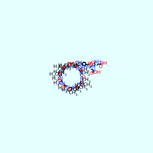 CC[C@@H]1NC(=O)[C@H]([C@H](O)[C@H](C)Cc2nc3cc(C(=O)N[C@@H](CCC(=O)O)C(=O)N[C@@H](CCC(=O)O)C(N)=O)ccc3[nH]2)N(C)C(=O)[C@H](C(C)C)N(C)C(=O)[C@H](CC(C)C)N(C)C(=O)[C@H](CC(C)C)N(C)C(=O)[C@@H](C)NC(=O)[C@H](C)NC(=O)[C@H](CC(C)C)N(C)C(=O)[C@H](C(C)C)NC(=O)[C@H](CC(C)C)N(C)C(=O)CN(C)C1=O